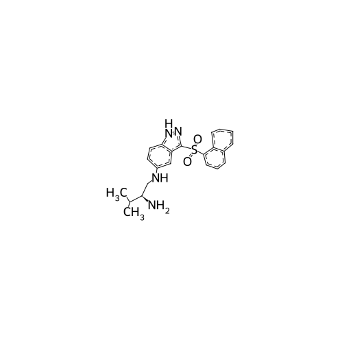 CC(C)[C@H](N)CNc1ccc2[nH]nc(S(=O)(=O)c3cccc4ccccc34)c2c1